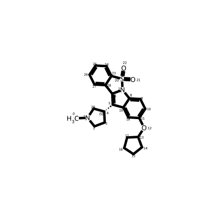 CN1CC[C@@H](c2c3n(c4ccc(OC5CCCC5)cc24)S(=O)(=O)c2ccccc2-3)C1